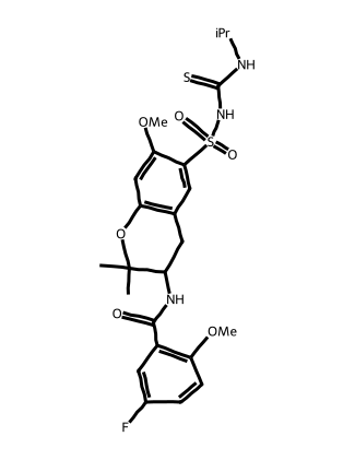 COc1ccc(F)cc1C(=O)NC1Cc2cc(S(=O)(=O)NC(=S)NC(C)C)c(OC)cc2OC1(C)C